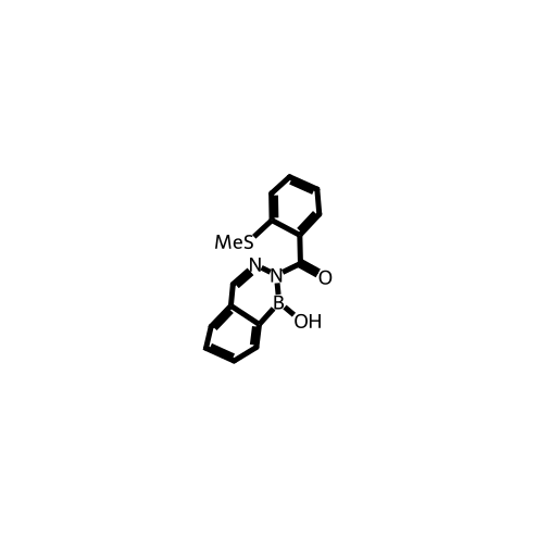 CSc1ccccc1C(=O)N1N=Cc2ccccc2B1O